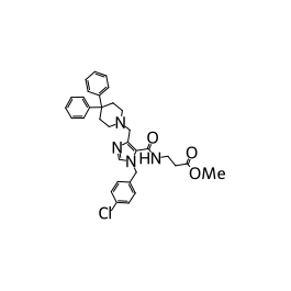 COC(=O)CCNC(=O)c1c(CN2CCC(c3ccccc3)(c3ccccc3)CC2)ncn1Cc1ccc(Cl)cc1